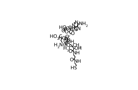 CC(C)(COP(=O)(O)OP(=O)(O)OC[C@H]1O[C@@H](n2cnc3c(N)ncnc32)[C@H](O)[C@@H]1OP(=O)(O)O)[C@@H](O)C(=O)NCCC(=O)NCCS.NCCCC(=O)O